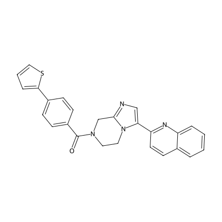 O=C(c1ccc(-c2cccs2)cc1)N1CCn2c(-c3ccc4ccccc4n3)cnc2C1